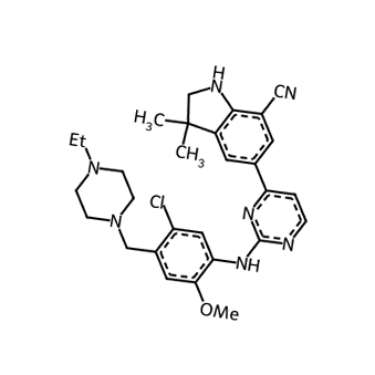 CCN1CCN(Cc2cc(OC)c(Nc3nccc(-c4cc(C#N)c5c(c4)C(C)(C)CN5)n3)cc2Cl)CC1